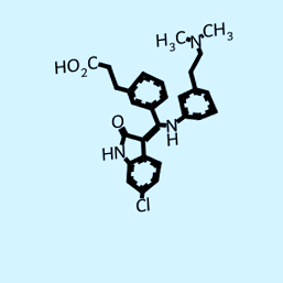 CN(C)CCc1cccc(NC(=C2C(=O)Nc3cc(Cl)ccc32)c2cccc(CCC(=O)O)c2)c1